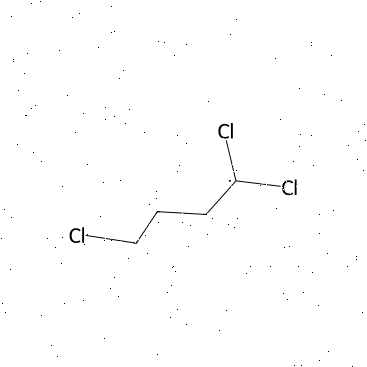 ClCCC[C](Cl)Cl